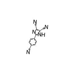 N#Cc1ccc(-c2nc(C#N)c(C#N)[nH]2)cc1